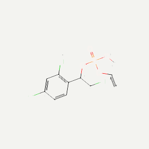 C=COP(=O)(OCC)OC(CCl)c1ccc(Cl)cc1Cl